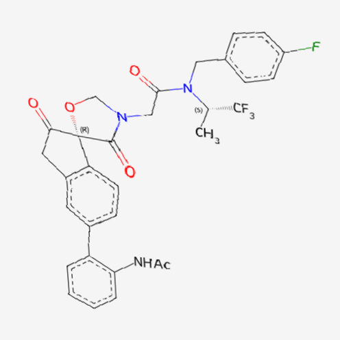 CC(=O)Nc1ccccc1-c1ccc2c(c1)CC(=O)[C@]21OCN(CC(=O)N(Cc2ccc(F)cc2)[C@@H](C)C(F)(F)F)C1=O